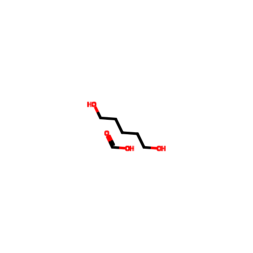 O=CO.OCCCCCO